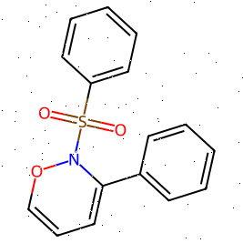 O=S(=O)(c1ccccc1)N1OC=CC=C1c1ccccc1